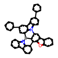 c1ccc(-c2ccc3c(c2)c2cc(-c4ccccc4)cc4c2n3-c2cc3c(oc5ccccc53)c3c2B4n2c4ccccc4c4cccc-3c42)cc1